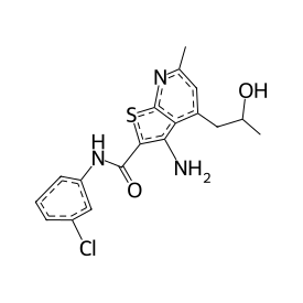 Cc1cc(CC(C)O)c2c(N)c(C(=O)Nc3cccc(Cl)c3)sc2n1